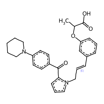 CC(Oc1cccc(/C=C/Cn2cccc2C(=O)c2ccc(N3CCCCC3)cc2)c1)C(=O)O